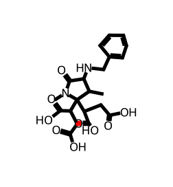 CC1C(NCc2ccccc2)C(=O)N(C)C1(C(CC(=O)O)C(=O)O)C(CC(=O)O)C(=O)O